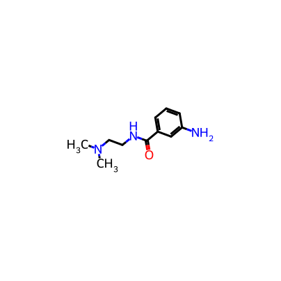 CN(C)CCNC(=O)c1cccc(N)c1